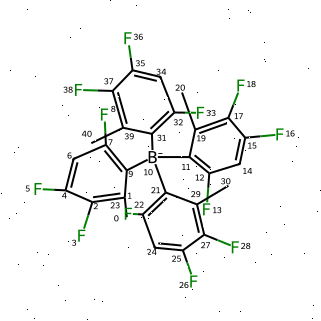 Cc1c(F)c(F)cc(F)c1[B-](c1c(F)cc(F)c(F)c1C)(c1c(F)cc(F)c(F)c1C)c1c(F)cc(F)c(F)c1C